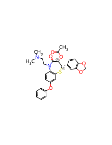 CC(=O)O[C@H]1C(=O)N(CCN(C)C)c2ccc(Oc3ccccc3)cc2S[C@H]1c1ccc2c(c1)OCO2